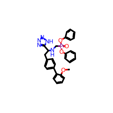 COc1ccccc1-c1ccc(CC(NCP(=O)(Oc2ccccc2)Oc2ccccc2)c2nnn[nH]2)cc1